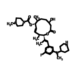 C/C(=C\c1cc(F)cc(N(C)C2CCNCC2)c1)[C@H]1OC(=O)C[C@H](O)CC[C@H](C)[C@@H](OC(=O)N2CCN(C)CC2)/C=C/[C@@H]1C